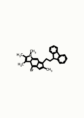 CC1=CC2=C(Br)C3C(=CC2=C1CCC1c2ccccc2-c2ccccc21)N(C)C(C)=C3C